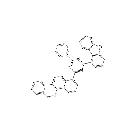 c1ccc(-c2nc(-c3cccc4c3ccc3c5ccccc5ccc43)nc(-c3cncc4oc5ccccc5c34)n2)cc1